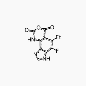 CCc1c(F)c2[nH]cnc2c2[nH]c(=O)oc(=O)c12